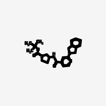 CC(C)(C)OC(=O)N1CCC(NC(=O)c2ccnc(N3Cc4ccccc4C3)c2)C1